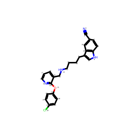 N#Cc1ccc2[nH]cc(CCCCNCc3cccnc3Oc3ccc(Cl)cc3)c2c1